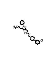 CCCc1cc(CNCCN2CCN(c3cccc(Cl)c3)CC2)nn1-c1ccccc1